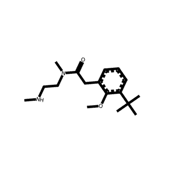 CNCCN(C)C(=O)Cc1cccc(C(C)(C)C)c1OC